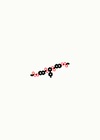 C=CC(=O)OCOc1ccc2cc(C(=O)Oc3ccc(OC(=O)c4ccc5cc(OCOC(=O)C=C)ccc5c4)c(-c4ccc(C)cc4)c3)ccc2c1